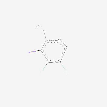 Cc1ccc(F)c(F)c1I